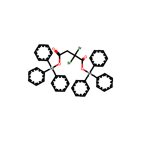 O=C(CC(Br)(Br)C(=O)[O][Sn]([c]1ccccc1)([c]1ccccc1)[c]1ccccc1)[O][Sn]([c]1ccccc1)([c]1ccccc1)[c]1ccccc1